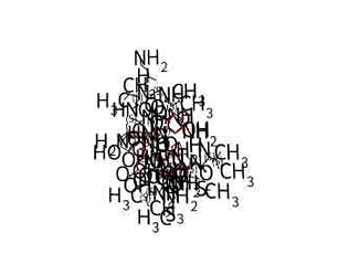 CC[C@H](C)[C@H](N)C(=O)N[C@@H](CCSC)C(=O)N1CCC[C@H]1C(=O)N[C@@H](CC(N)=O)C(=O)N[C@@H](CCC(=O)O)C(=O)N[C@@H](Cc1ccc(O)cc1)C(=O)N[C@@H](CC(N)=O)C(=O)N[C@H](C(=O)N[C@@H](CCCCN)C(=O)N[C@H](C(=O)N[C@@H](CC(N)=O)C(=O)N[C@@H](Cc1ccc(O)cc1)C(=O)N[C@@H](CCC(=O)O)C(=O)N[C@@H](CC(N)=O)C(=O)N1CCC[C@H]1C(=O)N[C@@H](CCSC)C(=O)N[C@H](C(=O)O)[C@@H](C)CC)C(C)C)C(C)C